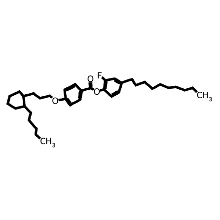 CCCCCCCCCCc1ccc(OC(=O)c2ccc(OCCCC3CCCCC3CCCCC)cc2)c(F)c1